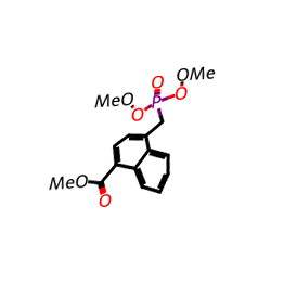 COOP(=O)(Cc1ccc(C(=O)OC)c2ccccc12)OOC